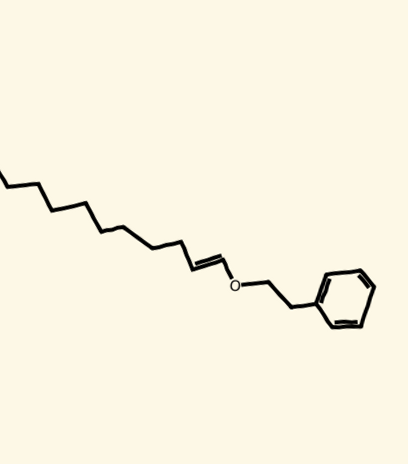 CCCCCCCCCC=COCCc1ccccc1